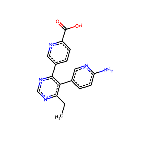 CCc1ncnc(-c2ccc(C(=O)O)nc2)c1-c1ccc(N)nc1